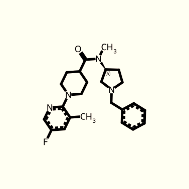 Cc1cc(F)cnc1N1CCC(C(=O)N(C)[C@H]2CCN(Cc3ccccc3)C2)CC1